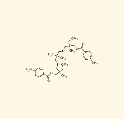 COCC(C)(COCC(C)(C)COCC(C)(COC)COC(=O)c1ccc(N)cc1)COC(=O)c1ccc(N)cc1